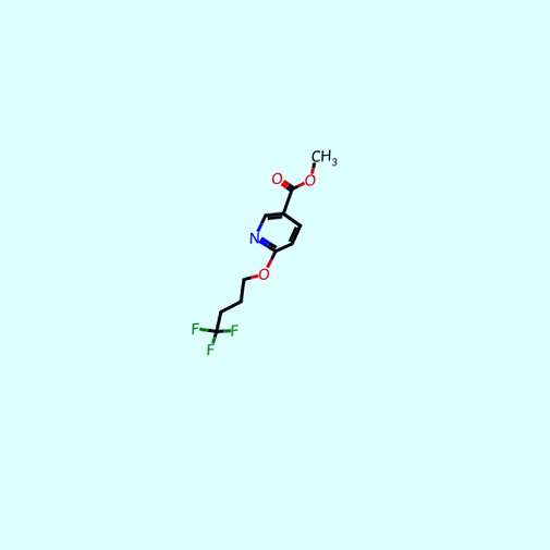 COC(=O)c1ccc(OCCCC(F)(F)F)nc1